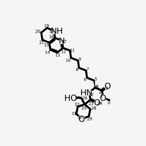 COC(=O)[C@H](CCCCCCCc1ccc2c(n1)NCCC2)NC(=O)C1(CO)CCOCC1